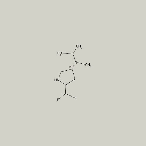 CC(C)N(C)[C@H]1CNC(C(F)F)C1